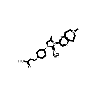 CC1CN([C@H]2CC[C@H](CCC(=O)O)CC2)C(=O)N1c1cnc2c(n1)CCN(C)CC2.Cl.Cl